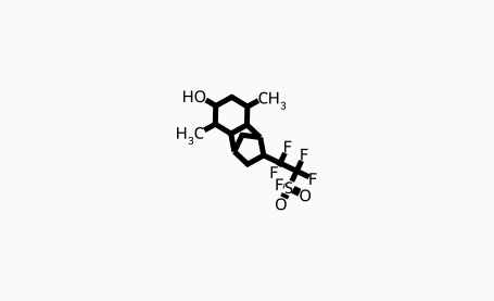 CC1CC(O)C(C)C2C3CC(C12)C(C(F)(F)C(F)(F)S(=O)(=O)F)C3